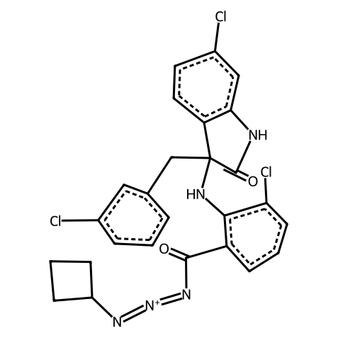 O=C(N=[N+]=NC1CCC1)c1cccc(Cl)c1NC1(Cc2cccc(Cl)c2)C(=O)Nc2cc(Cl)ccc21